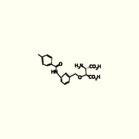 Cc1ccc(C(=O)Nc2cccc(CO[C@H](C(=O)O)[C@H](N)C(=O)O)c2)cc1